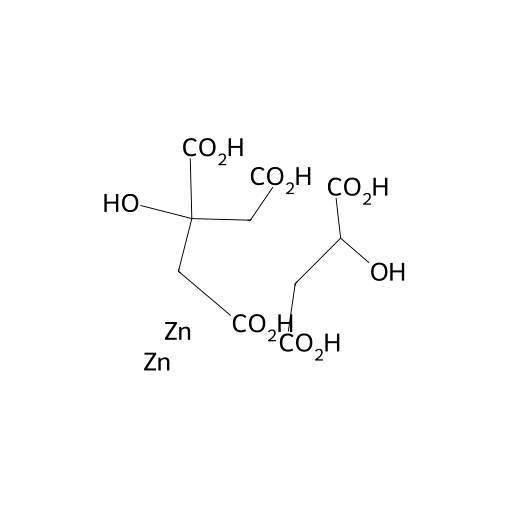 O=C(O)CC(O)(CC(=O)O)C(=O)O.O=C(O)CC(O)C(=O)O.[Zn].[Zn]